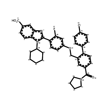 O=C(O)c1ccc2c(c1)nc(-c1ccc(OCc3cc(C(=O)N4CCCC4)ccc3-c3ccc(Cl)cc3)cc1F)n2C1CCCCC1